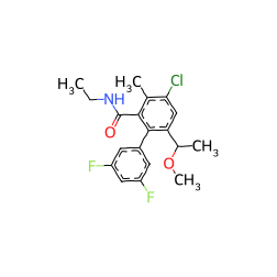 CCNC(=O)c1c(C)c(Cl)cc(C(C)OC)c1-c1cc(F)cc(F)c1